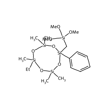 CC[Si]1(C)O[Si](C)(C)O[Si](C[Si](OC)(OC)OC)(c2ccccc2)O[Si](C)(C)O1